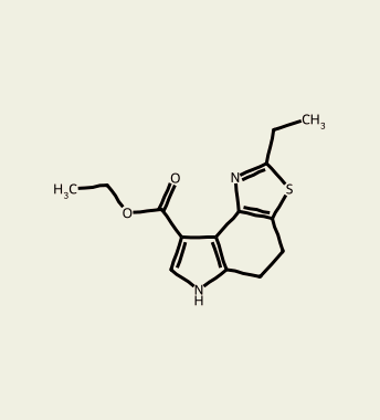 CCOC(=O)c1c[nH]c2c1-c1nc(CC)sc1CC2